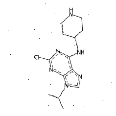 CC(C)n1cnc2c(NC3CCNCC3)nc(Cl)nc21